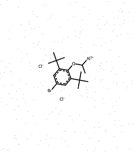 C[CH]([Al+2])Oc1c(C(C)(C)C)cc(Br)cc1C(C)(C)C.[Cl-].[Cl-]